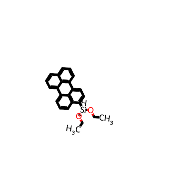 CCO[SiH](OCC)c1ccc2c3cccc4cccc(c5cccc1c52)c43